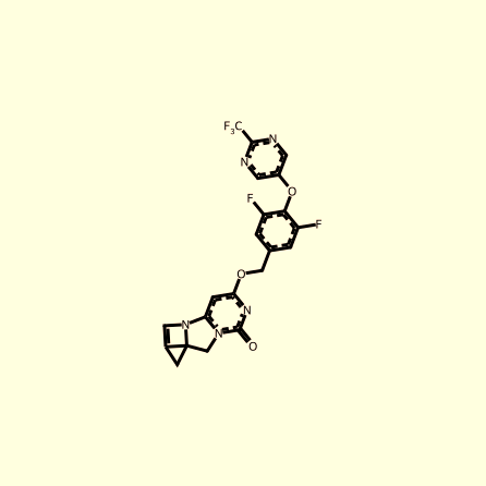 O=c1nc(OCc2cc(F)c(Oc3cnc(C(F)(F)F)nc3)c(F)c2)cc2n1CC13CC1=CN23